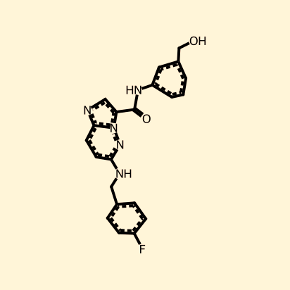 O=C(Nc1cccc(CO)c1)c1cnc2ccc(NCc3ccc(F)cc3)nn12